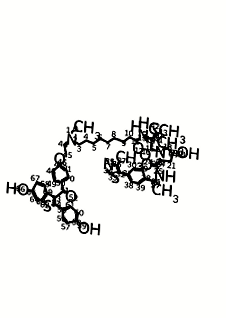 CCN(CCCCCCCCC(=O)N[C@H](C(=O)N1C[C@H](O)C[C@H]1C(=O)N[C@@H](C)c1ccc(-c2scnc2C)cc1)C(C)(C)C)CCOc1ccc(C(=O)c2c(-c3ccc(O)cc3)sc3cc(O)ccc23)cc1